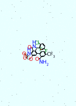 NC(=O)c1cc(C(F)(F)F)cc(F)c1-c1cc2c(c3c1C(c1cc(F)ccc1Cl)NC3=O)NS(=O)(=O)CO2